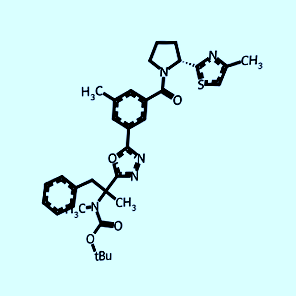 Cc1cc(C(=O)N2CCC[C@@H]2c2nc(C)cs2)cc(-c2nnc(C(C)(Cc3ccccc3)N(C)C(=O)OC(C)(C)C)o2)c1